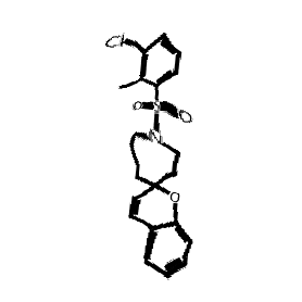 Cc1c(Cl)cccc1S(=O)(=O)N1CCC2(C=Cc3ccccc3O2)CC1